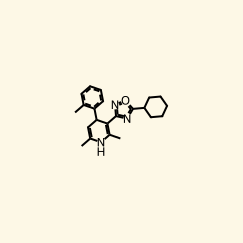 CC1=CC(c2ccccc2C)C(c2noc(C3CCCCC3)n2)=C(C)N1